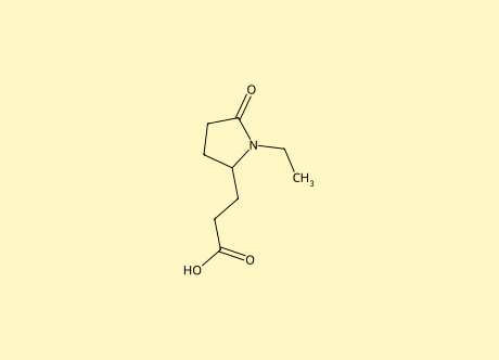 CCN1C(=O)CCC1CCC(=O)O